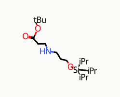 CC(C)[Si](OCCCNCCC(=O)OC(C)(C)C)(C(C)C)C(C)C